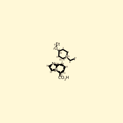 CCO[C@H]1CCN(CI)[C@H](c2ccc(C(=O)O)n3ccnc23)C1